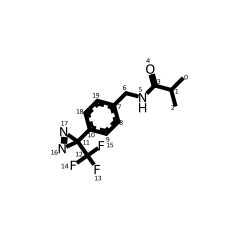 CC(C)C(=O)NCc1ccc(C2(C(F)(F)F)N=N2)cc1